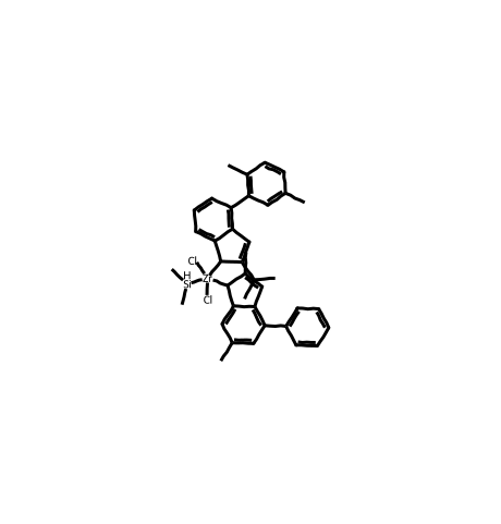 CC1=Cc2c(-c3ccccc3)cc(C)cc2[CH]1[Zr]([Cl])([Cl])([CH]1C(C(C)C)=Cc2c(-c3cc(C)ccc3C)cccc21)[SiH](C)C